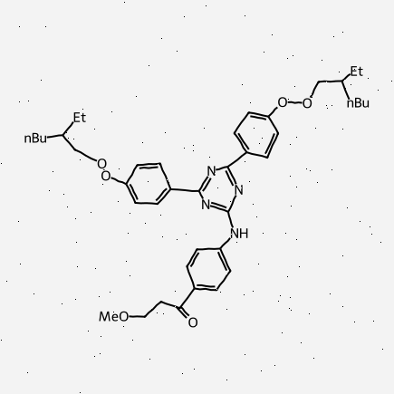 CCCCC(CC)COOc1ccc(-c2nc(Nc3ccc(C(=O)CCOC)cc3)nc(-c3ccc(OOCC(CC)CCCC)cc3)n2)cc1